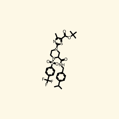 Cc1nc(N2CCN(S(=O)(=O)c3ccc(C(F)(F)F)cc3)C(C(=O)NCc3ccc(C(C)C)cc3)C2)sc1C(=O)OC(C)(C)C